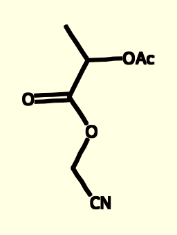 CC(=O)OC(C)C(=O)OCC#N